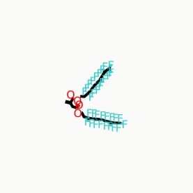 C=C(CC(=O)OCCC(F)(F)C(F)(F)C(F)(F)C(F)(F)C(F)(F)C(F)(F)C(F)(F)C(F)(F)F)C(=O)OCCC(F)(F)C(F)(F)C(F)(F)C(F)(F)C(F)(F)C(F)(F)C(F)(F)C(F)(F)F